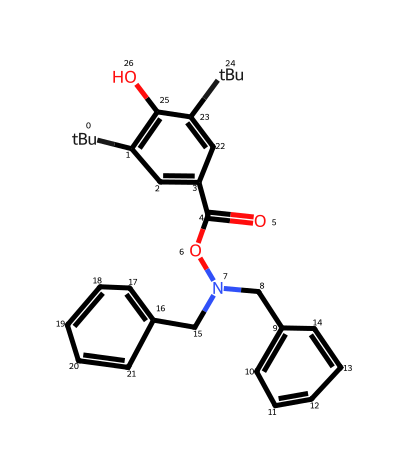 CC(C)(C)c1cc(C(=O)ON(Cc2ccccc2)Cc2ccccc2)cc(C(C)(C)C)c1O